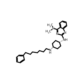 CN(C)c1nc(N[C@H]2CC[C@@H](NCCCCCCCc3ccccc3)CC2)nc2ccccc12